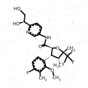 COc1c([C@@H]2[C@@H](C(=O)Nc3ccc([C@@H](O)CO)nc3)O[C@](C)(C(F)(F)F)[C@@H]2C)ccc(F)c1C